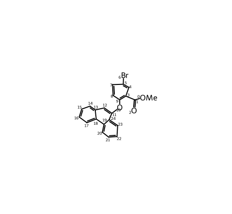 COC(=O)c1cc(Br)ccc1Oc1cc2ccccc2c2ccccc12